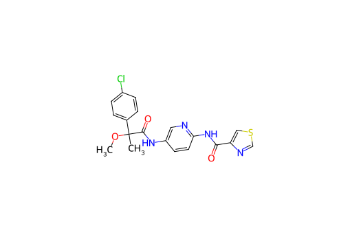 COC(C)(C(=O)Nc1ccc(NC(=O)c2cscn2)nc1)c1ccc(Cl)cc1